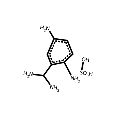 Nc1ccc(N)c(C(N)N)c1.O=S(=O)(O)O